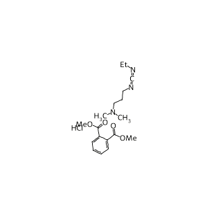 CCN=C=NCCCN(C)C.COC(=O)c1ccccc1C(=O)OC.Cl